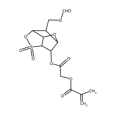 C=C(C)C(=O)OCC(=O)OC1C2OC3C(OS(=O)(=O)C13)C2COC=O